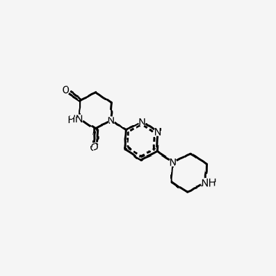 O=C1CCN(c2ccc(N3CCNCC3)nn2)C(=O)N1